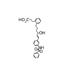 O=C(O)CCc1ccccc1CCCC(O)/C=C/c1cccc(NS(=O)(=O)c2ccccc2)c1